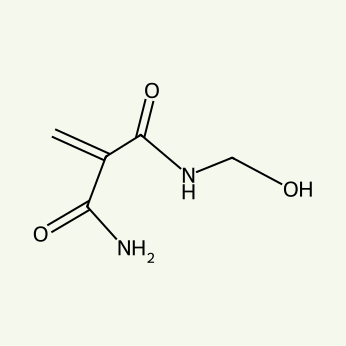 C=C(C(N)=O)C(=O)NCO